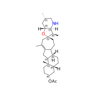 CC(=O)O[C@@H]1CC[C@@]2(C)[C@H](CC[C@H]3C4CC[C@@]5(CC(C)=C4C[C@@H]32)O[C@@H]2C[C@H](C)CN[C@H]2[C@H]5C)C1